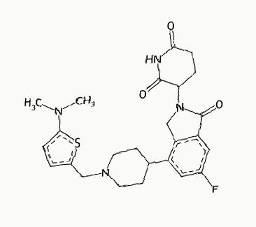 CN(C)c1ccc(CN2CCC(c3cc(F)cc4c3CN(C3CCC(=O)NC3=O)C4=O)CC2)s1